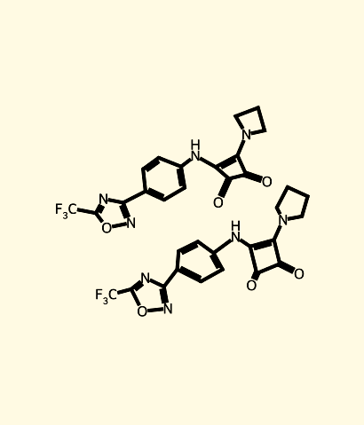 O=c1c(Nc2ccc(-c3noc(C(F)(F)F)n3)cc2)c(N2CCC2)c1=O.O=c1c(Nc2ccc(-c3noc(C(F)(F)F)n3)cc2)c(N2CCCC2)c1=O